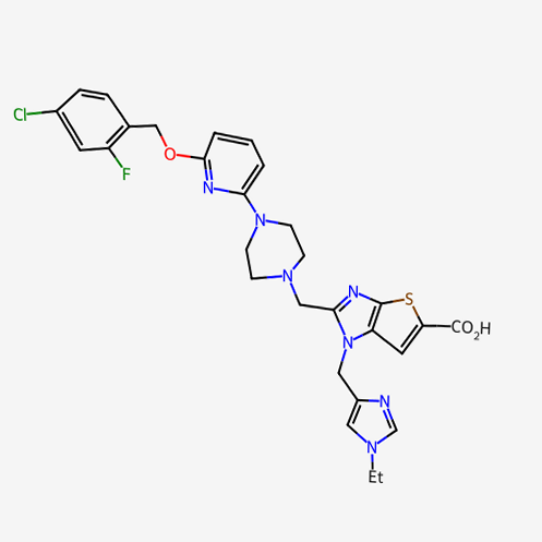 CCn1cnc(Cn2c(CN3CCN(c4cccc(OCc5ccc(Cl)cc5F)n4)CC3)nc3sc(C(=O)O)cc32)c1